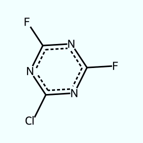 Fc1nc(F)nc(Cl)n1